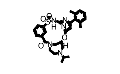 Cc1cccc(C)c1-c1cc2nc(n1)NS(=O)(=O)c1cccc(c1)C(=O)N1CCN(C(C)C)C[C@H](C1)O2